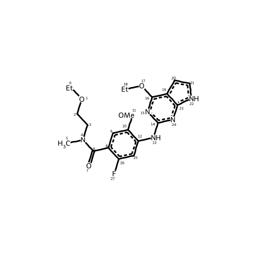 CCOCCN(C)C(=O)c1cc(OC)c(Nc2nc(OCC)c3cc[nH]c3n2)cc1F